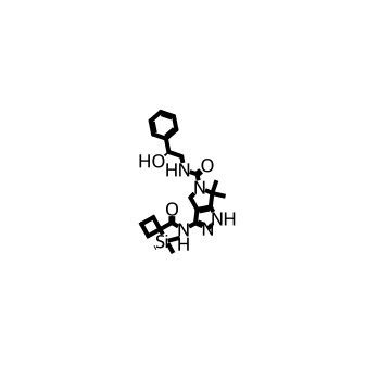 CC1(C)c2[nH]nc(NC(=O)C3([Si](C)(C)C)CCC3)c2CN1C(=O)NC[C@H](O)c1ccccc1